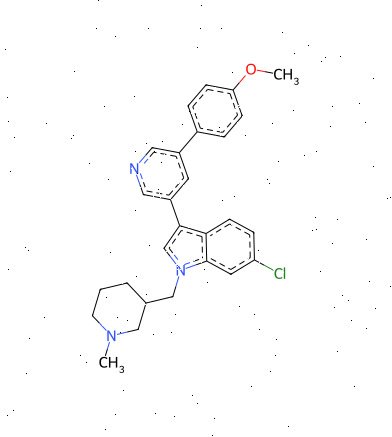 COc1ccc(-c2cncc(-c3cn(CC4CCCN(C)C4)c4cc(Cl)ccc34)c2)cc1